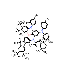 Cc1cc(C(C)(C)C)ccc1N1c2cc3c(cc2B2c4cc5c(cc4N(c4cc6c(cc4C)C(C)(C)CCC6(C)C)c4cc(N(c6ccc(C(C)(C)C)cc6)c6ccc(C(C)(C)C)cc6)cc1c42)-c1cc2c(cc1C5(C)C)C(C)(C)CCC2(C)C)C(C)(C)CCC3(C)C